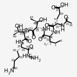 CC[C@H](C)[C@H](NC(=O)[C@H](CCC(=O)O)NC(C)=O)C(=O)N[C@H](C(=O)N[C@H](C(=O)N[C@@H](CCCCN)C(=O)NN)[C@@H](C)O)[C@@H](C)O